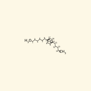 CCCCCCCC12CCC(CCCCC)(CC1)CC2